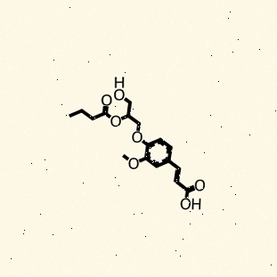 CCCC(=O)OC(CO)COc1ccc(C=CC(=O)O)cc1OC